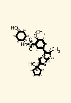 COc1ccc(-c2c(C)nc3sc(C4(O)CCCC4)cn23)cc1S(=O)(=O)N[C@H]1CC[C@@H](O)CC1